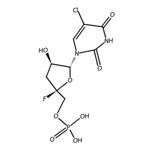 O=c1[nH]c(=O)n([C@@H]2O[C@](F)(COP(=O)(O)O)C[C@H]2O)cc1Cl